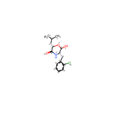 CC(C)C[C@@H]1OC(O)[C@H](Cc2ccccc2Cl)NC1=O